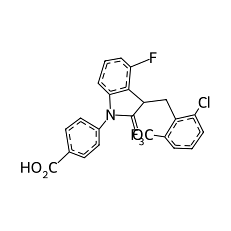 O=C(O)c1ccc(N2C(=O)C(Cc3c(Cl)cccc3C(F)(F)F)c3c(F)cccc32)cc1